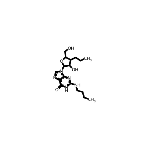 CCCCNc1nc2c(ncn2C2OC(CO)C(CCC)C2O)c(=O)[nH]1